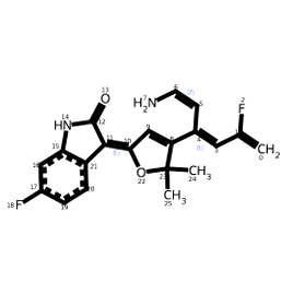 C=C(F)/C=C(\C=C/N)C1=C/C(=C2\C(=O)Nc3cc(F)ccc32)OC1(C)C